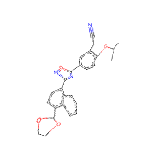 CC(C)Oc1ccc(-c2nc(-c3ccc(C4OCCO4)c4ccccc34)no2)cc1C#N